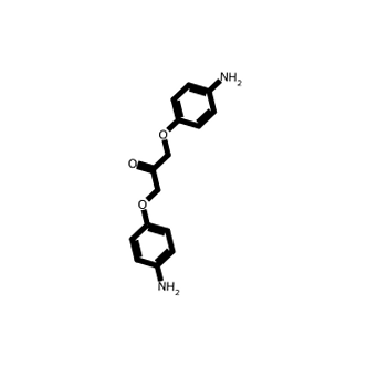 Nc1ccc(OCC(=O)COc2ccc(N)cc2)cc1